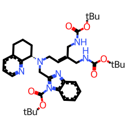 CC(C)(C)OC(=O)NCC(=CCN(Cc1nc2ccccc2n1C(=O)OC(C)(C)C)[C@H]1CCCc2cccnc21)CNC(=O)OC(C)(C)C